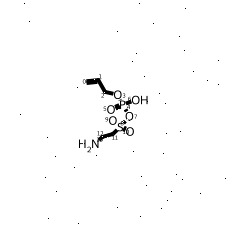 C=CCOP(=O)(O)OS(=O)(=O)CCN